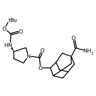 CC(C)(C)OC(=O)N[C@@H]1CCN(C(=O)OC2C3CC4CC2CC(C(N)=O)(C4)C3)C1